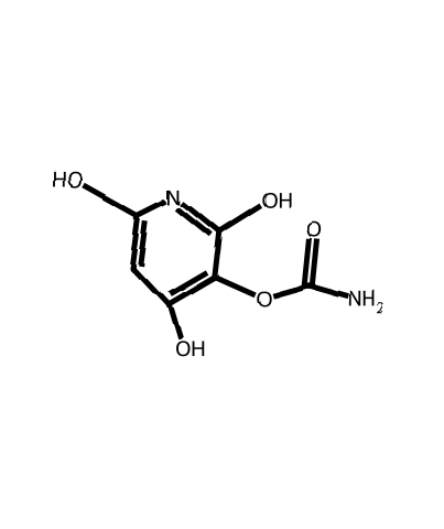 NC(=O)Oc1c(O)cc(O)nc1O